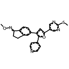 CON=C1CCc2cc(-c3cc(-c4cnc(SC)nc4)oc3-c3ccncc3)ccc21